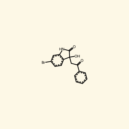 O=C(CC1(O)C(=O)Nc2cc(Br)ccc21)c1ccccc1